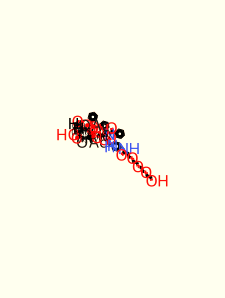 CC(=O)O[C@H]1C(=O)[C@@]2(C)[C@H]([C@H](OC(=O)c3ccccc3)[C@]3(O)C[C@H](OC(=O)[C@H](OC(=O)CN4CCC(NC(=O)CCOCCOCCOCCO)CC4)[C@@H](NC(=O)c4ccccc4)c4ccccc4)C(C)=C1C3(C)C)[C@]1(OC(C)=O)CO[C@@H]1C[C@@H]2O